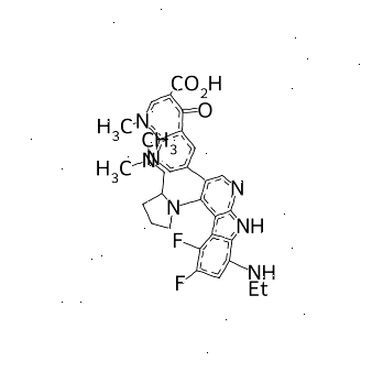 CCNc1cc(F)c(F)c2c1[nH]c1ncc(-c3cnc4c(c3)c(=O)c(C(=O)O)cn4C)c(N3CCCC3CN(C)C)c12